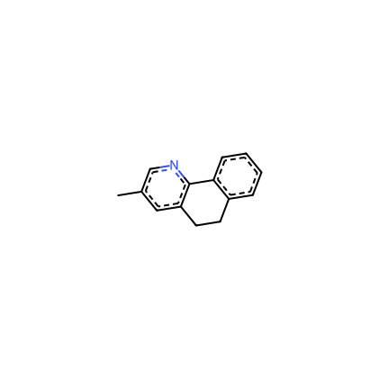 Cc1cnc2c(c1)CCc1ccccc1-2